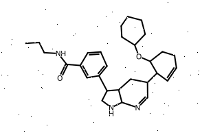 CCCNC(=O)c1cccc(C2CNC3N=CC(C4C=CCCC4OC4CCCCC4)CC32)c1